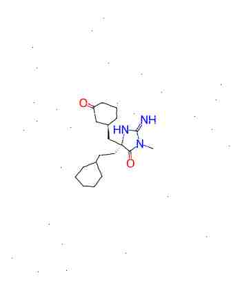 CN1C(=N)N[C@](CCC2CCCCC2)(C[C@@H]2CCCC(=O)C2)C1=O